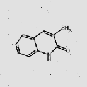 Bc1cc2ccccc2[nH]c1=O